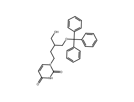 O=c1ccn(CCC(CO)COC(c2ccccc2)(c2ccccc2)c2ccccc2)c(=O)[nH]1